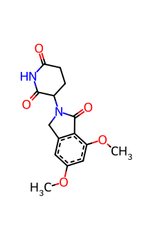 COc1cc2c(c(OC)c1)C(=O)N(C1CCC(=O)NC1=O)C2